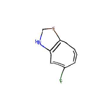 Fc1ccc2c(c1)NCS2